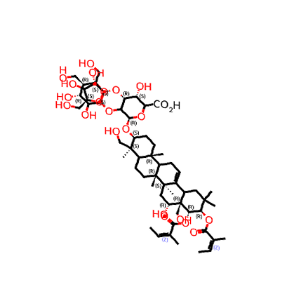 C/C=C(/C)C(=O)O[C@H]1[C@H](OC(=O)/C(C)=C\C)[C@@]2(CO)C(CC1(C)C)C1=CCC3[C@@]4(C)CC[C@H](O[C@@H]5OC(C(=O)O)[C@@H](O)[C@@H](O[C@@H]6O[C@@H](CO)C(O)[C@@H]6O)C5O[C@@H]5OC(CO)[C@H](CO)[C@@H](O)C5O)[C@](C)(CO)C4CC[C@@]3(C)[C@]1(C)C[C@H]2O